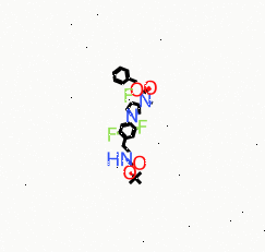 CN(C(=O)OCc1ccccc1)C1CN(c2cc(F)c(CCNC(=O)OC(C)(C)C)cc2F)CC1F